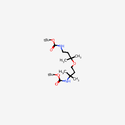 CC(C)(CCOC(C)(C)CCNC(=O)OC(C)(C)C)NC(=O)OC(C)(C)C